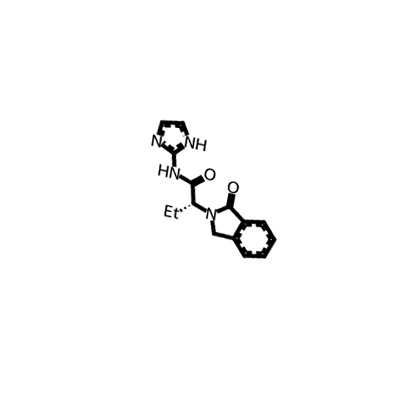 CC[C@H](C(=O)Nc1ncc[nH]1)N1Cc2ccccc2C1=O